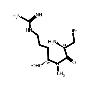 CC(C)C[C@H](N)C(=O)N(C)[C@H]([C]=O)CCCNC(=N)N